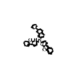 c1ccc(-c2ccc3ccc(N(c4ccc5c(n4)oc4ccccc45)c4ccc5c(n4)oc4ccccc45)cc3c2)cc1